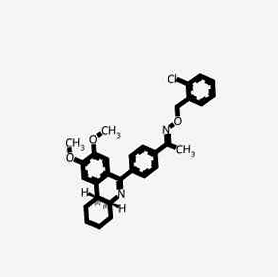 COc1cc2c(cc1OC)[C@H]1CCCC[C@H]1N=C2c1ccc(C(C)=NOCc2ccccc2Cl)cc1